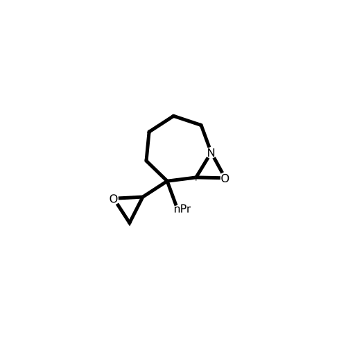 CCCC1(C2CO2)CCCCN2O[C]21